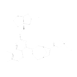 CC(C)(C)OC(=O)N1CC2CCN(c3nc(OC[C@@]45CCCN4C[C@H](F)C5)nc4c(F)c(Cl)ncc34)CC1C2